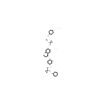 COc1ccc(COC(=O)NC2(COc3cc4nccc(Oc5ccc(NC(=O)C6(C(=O)Nc7ccccc7)CC6)cc5F)c4cc3OC)CC2)cc1